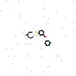 COc1ccc(C(=O)Nc2ccc(F)c(F)c2)cc1S(=O)(=O)N1CCCC(C)(O)CC1